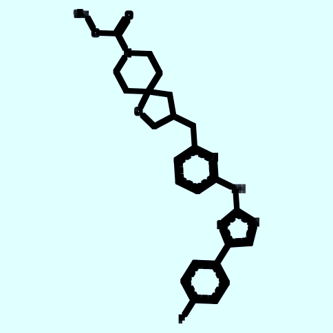 CC(C)(C)OC(=O)N1CCC2(CC1)CC(Cc1cccc(Nc3ncc(-c4ccc(F)cc4)s3)n1)CO2